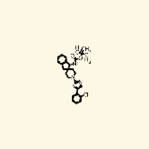 CC(C)(C)OC(=O)N[C@@H]1c2ccccc2CC12CCN(c1ncc(-c3ccccc3Cl)s1)CC2